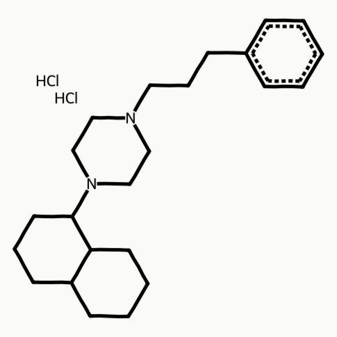 Cl.Cl.c1ccc(CCCN2CCN(C3CCCC4CCCCC43)CC2)cc1